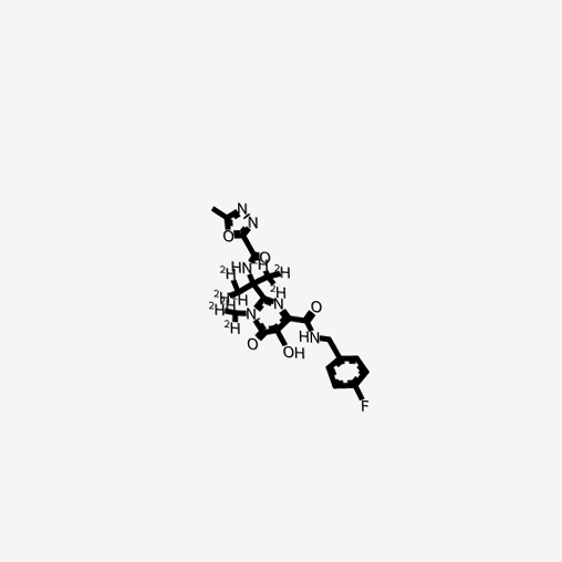 [2H]C([2H])([2H])n1c(C(NC(=O)c2nnc(C)o2)(C([2H])([2H])[2H])C([2H])([2H])[2H])nc(C(=O)NCc2ccc(F)cc2)c(O)c1=O